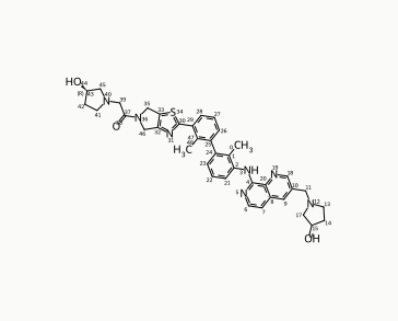 Cc1c(Nc2nccc3cc(CN4CCC(O)C4)cnc23)cccc1-c1cccc(-c2nc3c(s2)CN(C(=O)CN2CC[C@@H](O)C2)C3)c1C